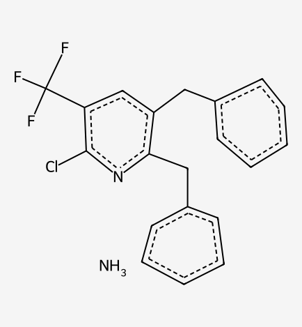 FC(F)(F)c1cc(Cc2ccccc2)c(Cc2ccccc2)nc1Cl.N